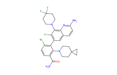 NC(=O)c1ccc(Br)c(-c2cc3ccc(N)nc3c(N3CCC(F)(F)CC3)c2F)c1N1CCC2(CC1)CC2